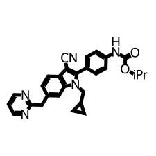 CC(C)OC(=O)Nc1ccc(-c2c(C#N)c3ccc(Cc4ncccn4)cc3n2CC2CC2)cc1